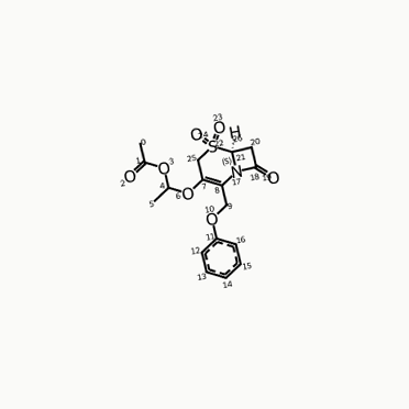 CC(=O)OC(C)OC1=C(COc2ccccc2)N2C(=O)C[C@@H]2S(=O)(=O)C1